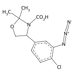 CC1(C)OCC(c2ccc(Cl)c(N=[N+]=[N-])c2)N1C(=O)O